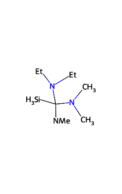 CCN(CC)C([SiH3])(NC)N(C)C